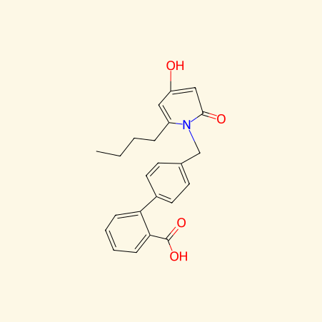 CCCCc1cc(O)cc(=O)n1Cc1ccc(-c2ccccc2C(=O)O)cc1